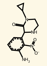 Nc1cccc(C2NCCN(C3CC3)C2=O)c1[N+](=O)[O-]